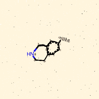 CNc1ccc2c(c1)CNCC2